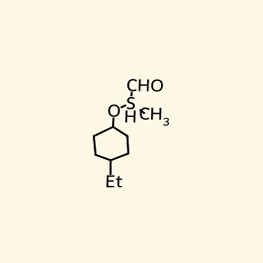 CCC1CCC(O[SH](C)C=O)CC1